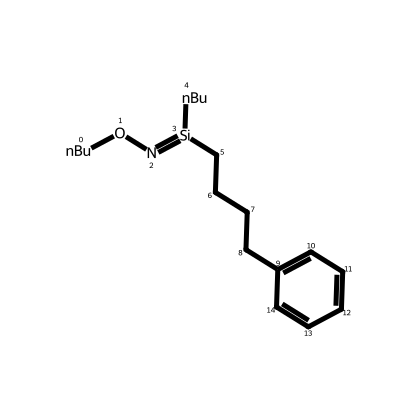 CCCCON=[Si](CCCC)CCCCc1ccccc1